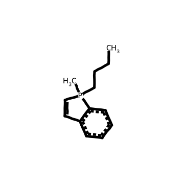 CCCC[P]1(C)C=Cc2ccccc21